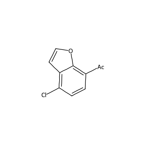 CC(=O)c1ccc(Cl)c2ccoc12